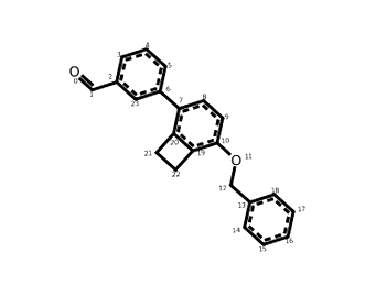 O=Cc1cccc(-c2ccc(OCc3ccccc3)c3c2CC3)c1